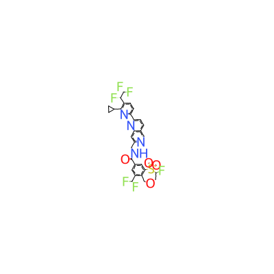 O=C(NCc1cc2nc(-c3ccc([C@H](F)C(F)F)c(C4CC4)n3)ccc2cn1)c1cc(C(F)F)c2c(c1)S(=O)(=O)[C@@H](F)COC2